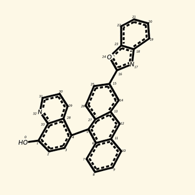 Oc1ccc(-c2c3ccccc3cc3cc(-c4nc5ccccc5o4)ccc23)c2cccnc12